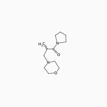 C=C(CN1CCOCC1)C(=O)N1CCCC1